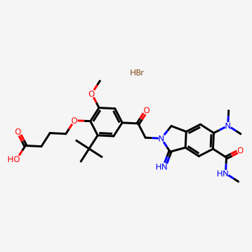 Br.CNC(=O)c1cc2c(cc1N(C)C)CN(CC(=O)c1cc(OC)c(OCCCC(=O)O)c(C(C)(C)C)c1)C2=N